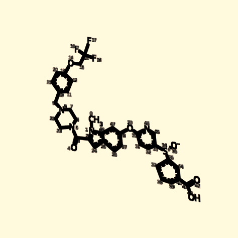 Cn1c(C(=O)N2CCN(Cc3ccc(OCC(F)(F)F)cc3)CC2)cc2ccc(Oc3ccc([S+]([O-])c4cccc(C(=O)O)c4)cn3)cc21